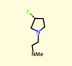 CNCCN1CC[C@H](F)C1